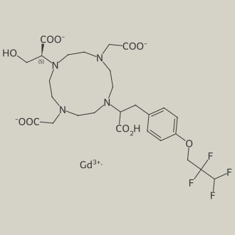 O=C([O-])CN1CCN(C(Cc2ccc(OCC(F)(F)C(F)F)cc2)C(=O)O)CCN(CC(=O)[O-])CCN([C@@H](CO)C(=O)[O-])CC1.[Gd+3]